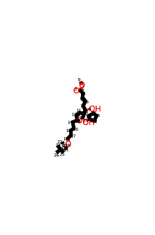 COC(=O)C/C=C/C[C@@H](O)[C@](/C=C\CCCCCCO[Si](C)(C)C(C)(C)C)(C(=O)O)C1CCCC1